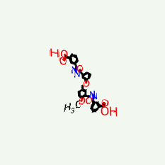 COc1ccc(COc2cccc(-c3nnc(-c4cccc(C(=O)O)c4)o3)c2)cc1-c1nnc(-c2cccc(C(=O)O)c2)o1